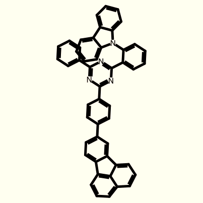 c1ccc(-c2nc(-c3ccc(-c4ccc5c(c4)-c4cccc6cccc-5c46)cc3)nc(-c3ccccc3-n3c4ccccc4c4ccccc43)n2)cc1